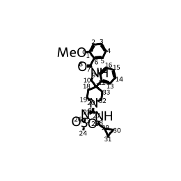 COc1ccccc1C(=O)NCC1(c2ccccc2)CCN(C(=NS(C)(=O)=O)NCC2CC2)CC1